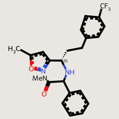 CNC(=O)C(N[C@@H](CCc1ccc(C(F)(F)F)cc1)c1cc(C)on1)c1ccccc1